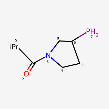 CC(C)C(=O)N1CCC(P)C1